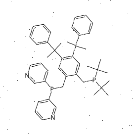 CC(C)(c1ccccc1)c1cc(CP(c2cccnc2)c2cccnc2)c(CP(C(C)(C)C)C(C)(C)C)cc1C(C)(C)c1ccccc1